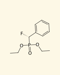 CCOP(=O)(OCC)[C@H](F)c1ccccc1